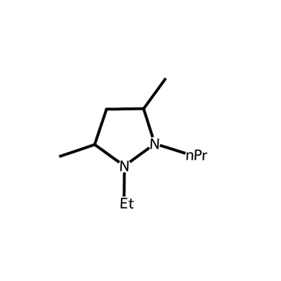 CCCN1C(C)CC(C)N1CC